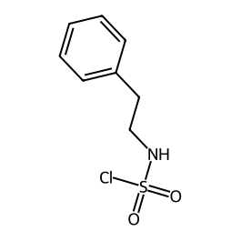 O=S(=O)(Cl)NCCc1ccccc1